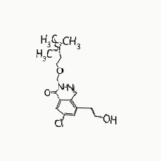 C[Si](C)(C)CCOCn1ncc2c(CCO)cc(Cl)cc2c1=O